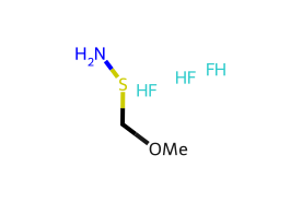 COCSN.F.F.F